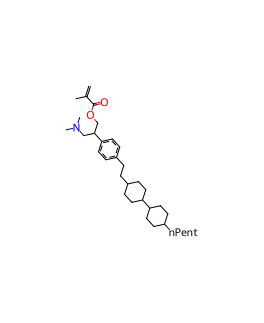 C=C(C)C(=O)OCC(CN(C)C)c1ccc(CCC2CCC(C3CCC(CCCCC)CC3)CC2)cc1